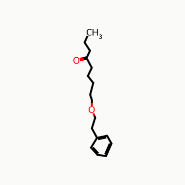 CCCC(=O)CCCCCOCCc1ccccc1